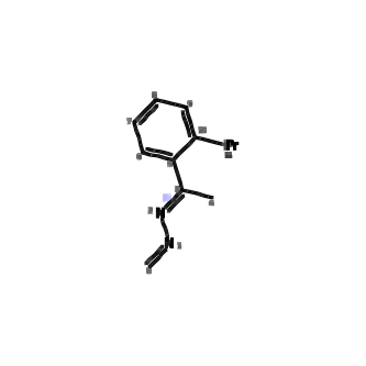 C=N/N=C(\C)c1ccccc1C(C)C